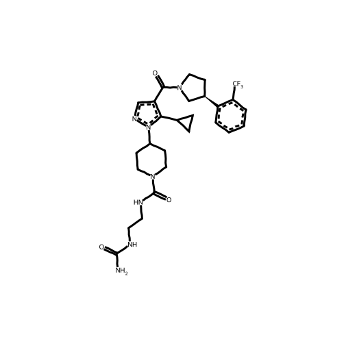 NC(=O)NCCNC(=O)N1CCC(n2ncc(C(=O)N3CC[C@@H](c4ccccc4C(F)(F)F)C3)c2C2CC2)CC1